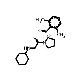 Cc1cccc(C)c1C(=O)[C@@H]1CCCN1C(=O)CNC1CCCCC1